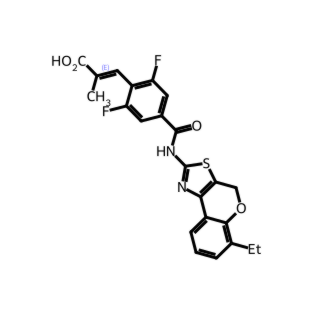 CCc1cccc2c1OCc1sc(NC(=O)c3cc(F)c(/C=C(\C)C(=O)O)c(F)c3)nc1-2